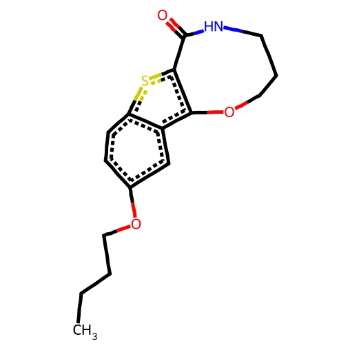 CCCCOc1ccc2sc3c(c2c1)OCCCNC3=O